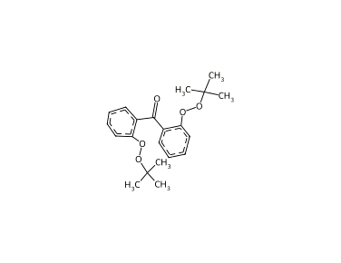 CC(C)(C)OOc1ccccc1C(=O)c1ccccc1OOC(C)(C)C